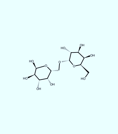 OC[C@H]1O[C@H](OC[C@H]2O[C@H](O)[C@H](O)[C@@H](O)[C@H]2O)[C@H](O)[C@@H](O)[C@H]1O